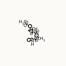 COC(=O)c1cccc(C2(N(C)C(=O)c3ncn4c3CN(C(=O)c3cc5ccccc5[nH]3)C(C)C4)CC2)c1